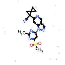 Cc1nc(-n2ncc3cnc(C4(C#N)CC45CC5)cc32)cc(S(C)(=O)=O)n1